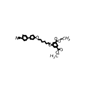 CCOC(=O)c1cc(OCCCCCCOc2ccc(-c3ccc(C#N)cc3)cc2)cc(C(=O)OCC)c1